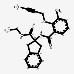 CC#CCOc1c(C)cccc1C(=O)NC1(C(=O)OCC)Cc2ccccc2C1